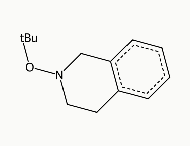 CC(C)(C)ON1CCc2ccccc2C1